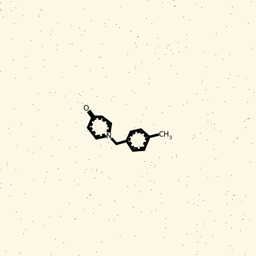 Cc1ccc(Cn2ccc(=O)cc2)cc1